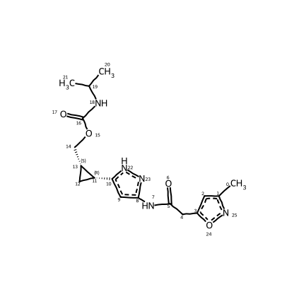 Cc1cc(CC(=O)Nc2cc([C@@H]3C[C@@H]3COC(=O)NC(C)C)[nH]n2)on1